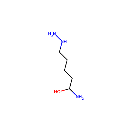 NNCCCCC(N)O